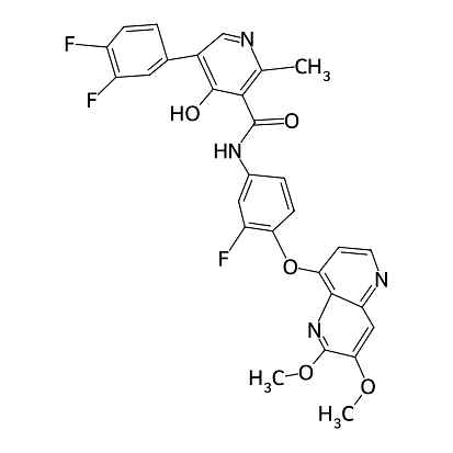 COc1cc2nccc(Oc3ccc(NC(=O)c4c(C)ncc(-c5ccc(F)c(F)c5)c4O)cc3F)c2nc1OC